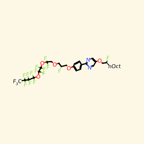 CCCCCCCC[C@H](F)COc1cnc(-c2ccc(OC[C@H](F)COCC(F)(F)OC(F)(F)C(F)(F)OC(F)(F)C(F)(F)C(F)(F)C(F)(F)F)cc2)nc1